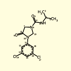 CC(C)NC(=O)N1CC(=O)N(c2cc(Cl)cc(Cl)c2)C1